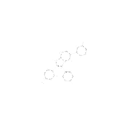 Fc1cccc(-c2cnc3nc(-c4ccc(Cl)cc4)c(-c4ccc(Cl)cc4)n3c2)c1